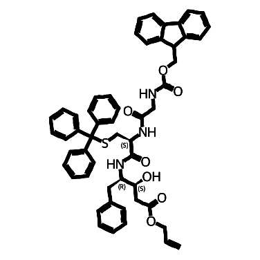 C=CCOC(=O)C[C@H](O)[C@@H](Cc1ccccc1)NC(=O)[C@@H](CSC(c1ccccc1)(c1ccccc1)c1ccccc1)NC(=O)CNC(=O)OCC1c2ccccc2-c2ccccc21